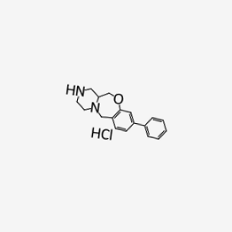 Cl.c1ccc(-c2ccc3c(c2)OCC2CNCCN2C3)cc1